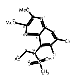 COc1nc2cc(Cl)c(Cl)c(N(CC(C)=O)S(C)(=O)=O)c2nc1OC